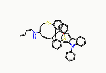 C=C/C=C\NC1=C/CSc2cccc(C3C=c4c(n(-c5ccccc5)c5ccccc45)=CC3)c2C2(c3ccccc3Sc3ccccc32)C(C)/C=C\1